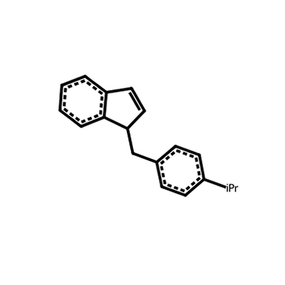 CC(C)c1ccc(CC2C=Cc3ccccc32)cc1